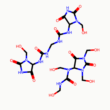 O=C(NCNC(=O)NC1C(=O)NC(=O)N1CO)NC1C(=O)NC(=O)N1CO.O=C1C(N(CO)C(=O)NCO)N(CO)C(=O)N1CO